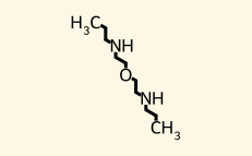 CCCNCCOCCNCCC